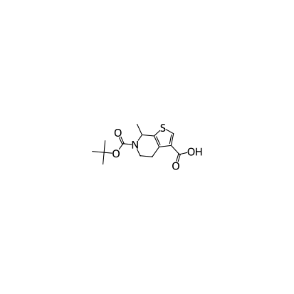 CC1c2scc(C(=O)O)c2CCN1C(=O)OC(C)(C)C